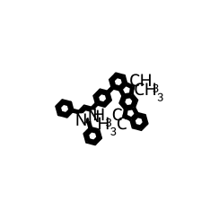 CC1(C)c2ccccc2-c2cc3c(cc21)-c1c(-c2ccc(-c4cc(-c5ccccc5)nc(-c5ccccc5)n4)cc2)cccc1C3(C)C